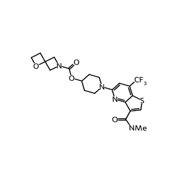 CNC(=O)c1csc2c(C(F)(F)F)cc(N3CCC(OC(=O)N4CC5(CCO5)C4)CC3)nc12